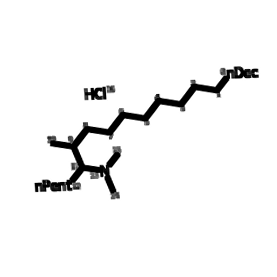 CCCCCCCCCCCCCCCCCCC(C)C(CCCCC)N(C)C.Cl